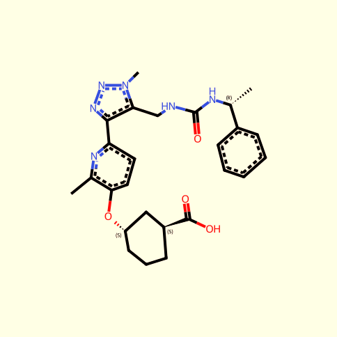 Cc1nc(-c2nnn(C)c2CNC(=O)N[C@H](C)c2ccccc2)ccc1O[C@H]1CCC[C@H](C(=O)O)C1